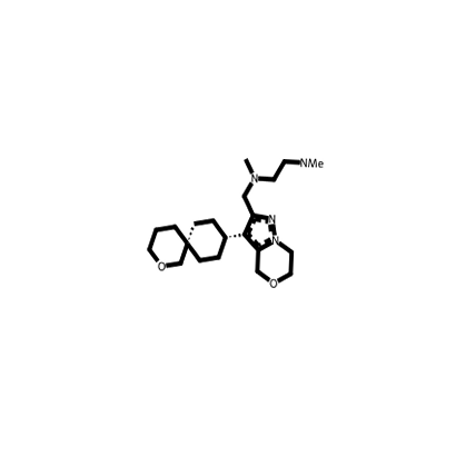 CNCCN(C)Cc1nn2c(c1[C@H]1CC[C@]3(CCCOC3)CC1)COCC2